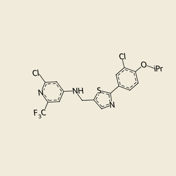 CC(C)Oc1ccc(-c2ncc(CNc3cc(Cl)nc(C(F)(F)F)c3)s2)cc1Cl